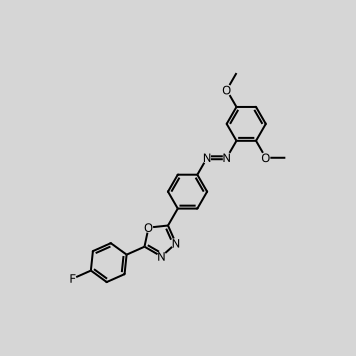 COc1ccc(OC)c(N=Nc2ccc(-c3nnc(-c4ccc(F)cc4)o3)cc2)c1